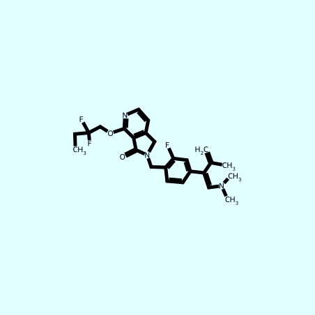 C=C(C)/C(=C\N(C)C)c1ccc(CN2Cc3ccnc(OCC(F)(F)CC)c3C2=O)c(F)c1